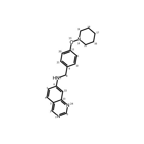 c1ncc2ccc(NCc3ccc(ON4CCCCC4)cc3)cc2n1